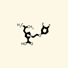 CC(C)Cc1cc(C(=O)O)n(CCOc2ccc(F)c(F)c2)c1